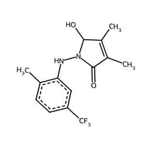 CC1=C(C)C(O)N(Nc2cc(C(F)(F)F)ccc2C)C1=O